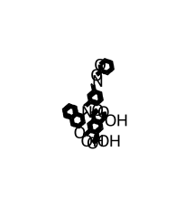 O=C(O)c1cc(C(=O)O)c(C(=O)N(Cc2cccc(/C=N/OC3CCCCO3)c2)[C@H]2CCCc3ccccc32)cc1C(=O)O